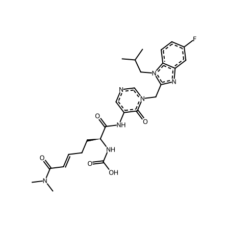 CC(C)Cn1c(Cn2cncc(NC(=O)[C@H](CC/C=C/C(=O)N(C)C)NC(=O)O)c2=O)nc2cc(F)ccc21